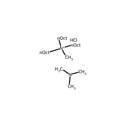 CCCCCCCC[N+](C)(CCCCCCCC)CCCCCCCC.CN(C)C.Cl